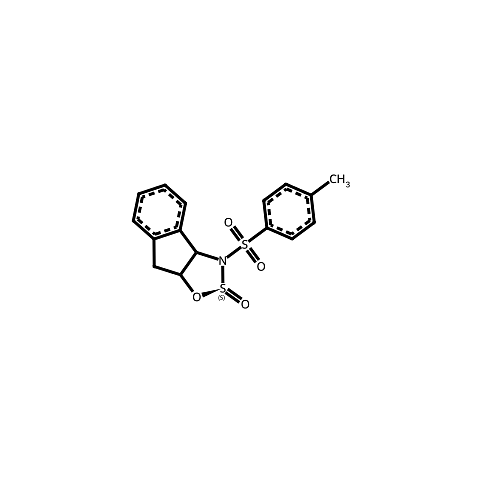 Cc1ccc(S(=O)(=O)N2C3c4ccccc4CC3O[S@@]2=O)cc1